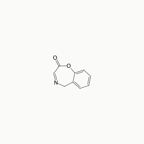 O=C1C=NCc2ccccc2O1